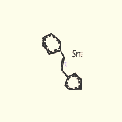 C(=C\c1ccccc1)/c1ccccc1.[Sn]